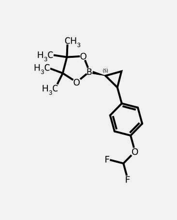 CC1(C)OB([C@H]2CC2c2ccc(OC(F)F)cc2)OC1(C)C